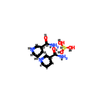 NC(=O)c1cccnc1.NC(=O)c1cccnc1.O=S(O)O